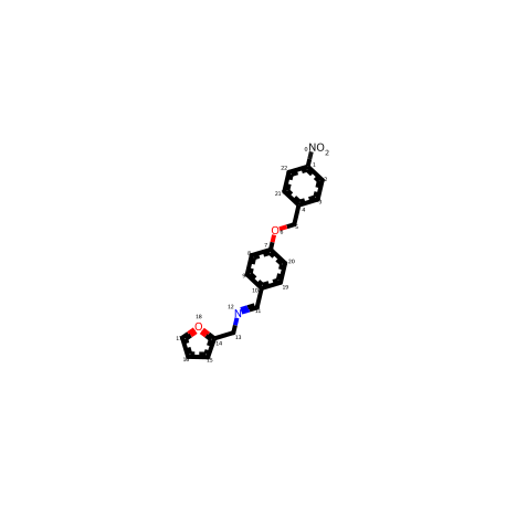 O=[N+]([O-])c1ccc(COc2ccc(C=NCc3ccco3)cc2)cc1